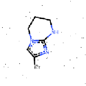 CC(C)c1cn2c(n1)NCCC2